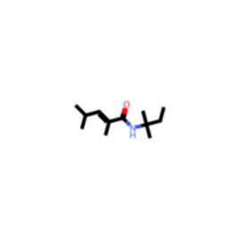 CCC(C)(C)NC(=O)/C(C)=C/C(C)C